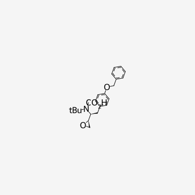 CC(C)(C)N(C(=O)O)[C@@H](Cc1ccc(OCc2ccccc2)cc1)[C@H]1CO1